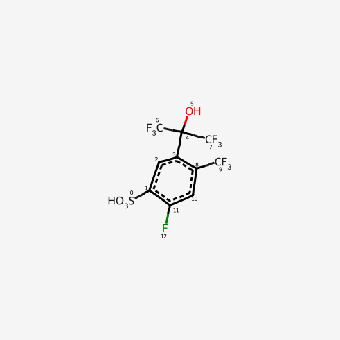 O=S(=O)(O)c1cc(C(O)(C(F)(F)F)C(F)(F)F)c(C(F)(F)F)cc1F